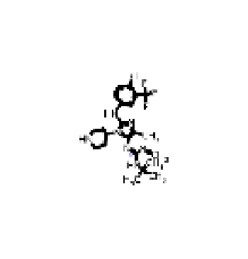 C=N/C(=N\c1c(C)nc(Nc2ccc(Cl)c(C(F)(F)F)c2)n1C1CCNCC1)NC(C)(C)C